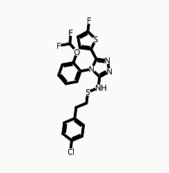 Fc1ccc(-c2nnc(NSCCc3ccc(Cl)cc3)n2-c2ccccc2OC(F)F)s1